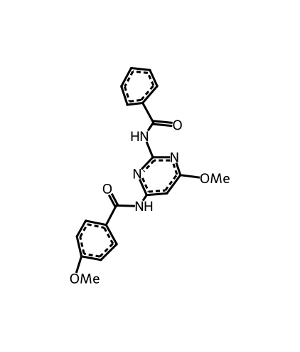 COc1ccc(C(=O)Nc2cc(OC)nc(NC(=O)c3ccccc3)n2)cc1